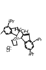 CC1=Cc2c(C(C)C)cc(C(C)C)cc2[CH]1[Zr+2]1([CH]2C(C)=Cc3c(C(C)C)cc(C(C)C)cc32)[CH2]C[CH2]1.[Cl-].[Cl-]